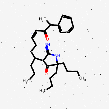 CCCCC1(CCCC)NC(=N)C(C(CCC)CC/C=C\C(=O)C(C)c2ccccc2)C1=O